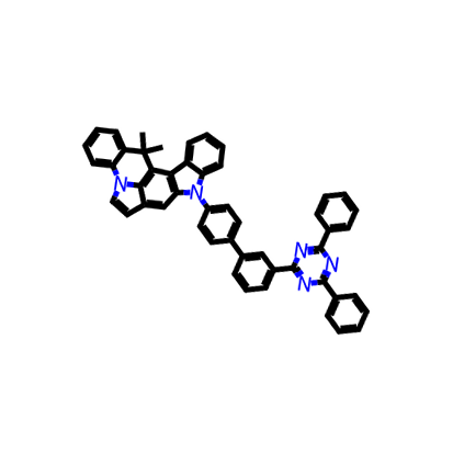 CC1(C)c2ccccc2-n2ccc3cc4c(c1c32)c1ccccc1n4-c1ccc(-c2cccc(-c3nc(-c4ccccc4)nc(-c4ccccc4)n3)c2)cc1